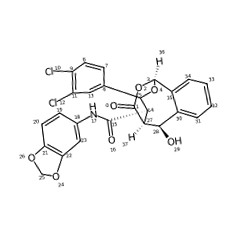 O=C1O[C@@H]2OC(c3ccc(Cl)c(Cl)c3)[C@H](C(=O)Nc3ccc4c(c3)OCO4)[C@H]1[C@H](O)c1ccccc12